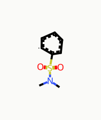 CN(C)S(=O)(=O)c1[c]cccc1